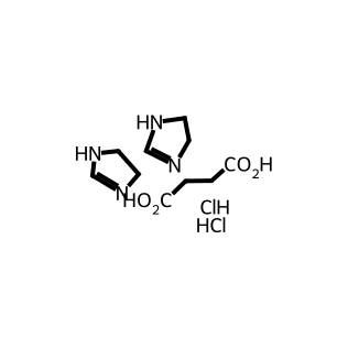 C1=NCCN1.C1=NCCN1.Cl.Cl.O=C(O)CCC(=O)O